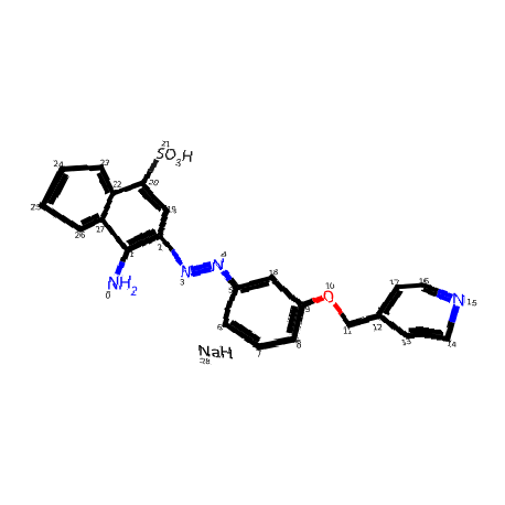 Nc1c(N=Nc2cccc(OCc3ccncc3)c2)cc(S(=O)(=O)O)c2ccccc12.[NaH]